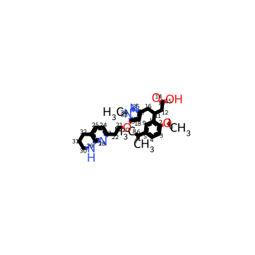 COc1ccc(C(C)C)cc1C(CC(=O)O)Cc1cc(OCCc2ccc3c(n2)NCCC3)n(C)n1